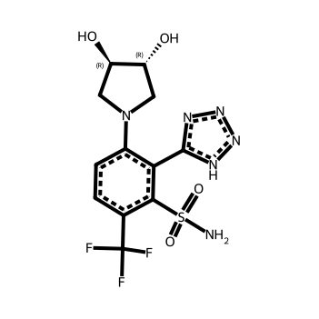 NS(=O)(=O)c1c(C(F)(F)F)ccc(N2C[C@@H](O)[C@H](O)C2)c1-c1nnn[nH]1